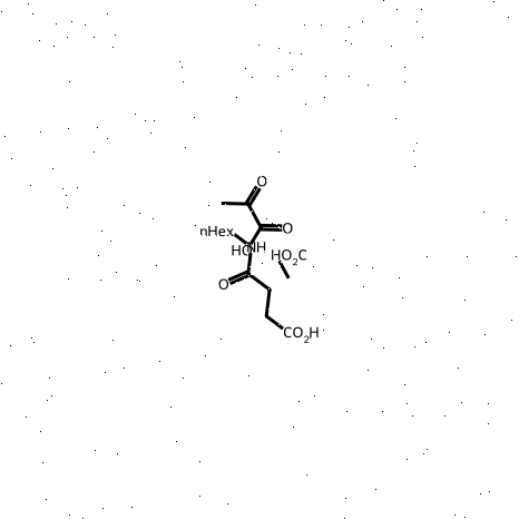 CC(=O)C(=O)O.CC(=O)O.CCCCCCNC(=O)CCC(=O)O